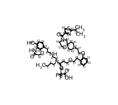 CCCCN(CCNCCc1ccc(O)c2c1OCC(=O)N2)C(=O)CCOCCc1ccccc1OCCN1CCC2(CC1)CN(C(=O)c1csc(C(C)C)n1)CCO2.O=C(O)C(F)(F)F